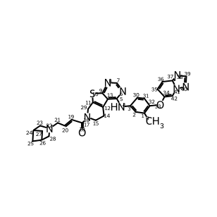 Cc1cc(Nc2ncnc3sc4c(c23)CCN(C(=O)/C=C/CN2CC3CC(C3)C2)C4)ccc1Oc1ccc2ncnn2c1